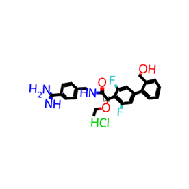 CCO[C@H](C(=O)NCc1ccc(C(=N)N)cc1)c1c(F)cc(-c2ccccc2CO)cc1F.Cl